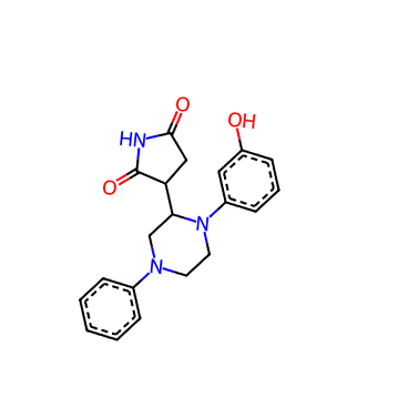 O=C1CC(C2CN(c3ccccc3)CCN2c2cccc(O)c2)C(=O)N1